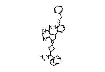 Nc1ncnc2c1c(-c1cccc(OCc3ccccc3)c1)cn2C1CC(C(N)C23CC4CC(CC(C4)C2)C3)C1